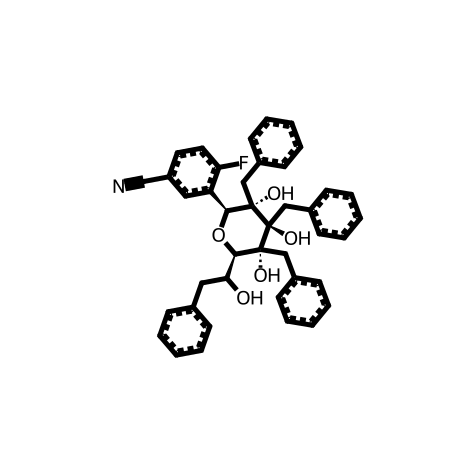 N#Cc1ccc(F)c([C@@H]2O[C@H](C(O)Cc3ccccc3)[C@](O)(Cc3ccccc3)[C@@](O)(Cc3ccccc3)[C@]2(O)Cc2ccccc2)c1